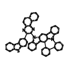 c1ccc2c(c1)-c1ccccc1-n1c3ccccc3c3cc4c(c-2c31)c1ccccc1n4-c1nc2c(ccc3ccccc32)nc1-c1ccc2sc3ccccc3c2c1